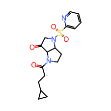 O=C1CN(S(=O)(=O)c2ccccn2)C2CCN(C(=O)[CH]CC3CC3)C12